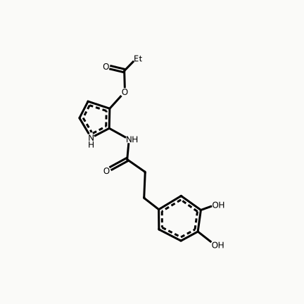 CCC(=O)Oc1cc[nH]c1NC(=O)CCc1ccc(O)c(O)c1